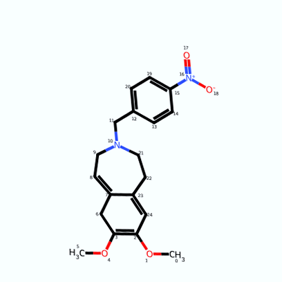 COC1=C(OC)CC2=CCN(Cc3ccc([N+](=O)[O-])cc3)CCC2=C1